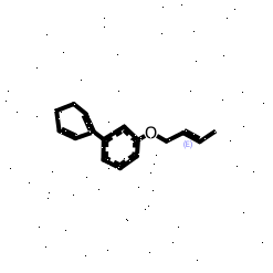 C/C=C/COc1cccc(C2=CCCC=C2)c1